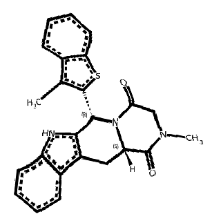 Cc1c([C@H]2c3[nH]c4ccccc4c3C[C@H]3C(=O)N(C)CC(=O)N23)sc2ccccc12